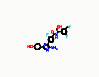 Nc1ncc([C@H]2CC[C@@H](O)CC2)nc1-c1ccc(C(=O)N[C@H](CO)c2cc(F)cc(CF)c2)c(F)c1